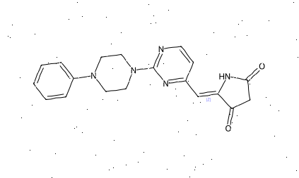 O=C1CC(=O)/C(=C/c2ccnc(N3CCN(c4ccccc4)CC3)n2)N1